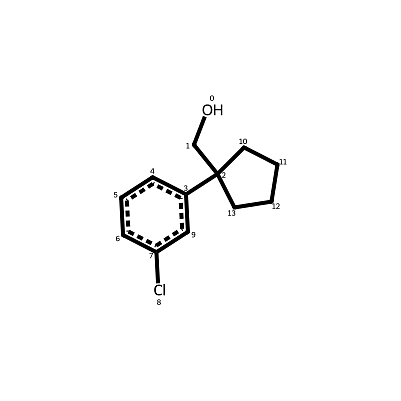 OCC1(c2cccc(Cl)c2)CCCC1